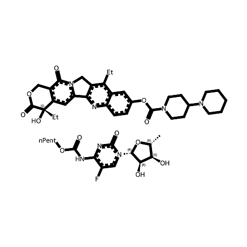 CCCCCOC(=O)Nc1nc(=O)n([C@@H]2O[C@H](C)[C@@H](O)[C@H]2O)cc1F.CCc1c2c(nc3ccc(OC(=O)N4CCC(N5CCCCC5)CC4)cc13)-c1cc3c(c(=O)n1C2)COC(=O)[C@]3(O)CC